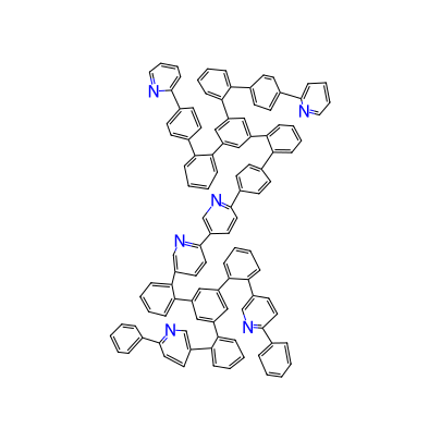 c1ccc(-c2ccc(-c3ccccc3-c3cc(-c4ccccc4-c4ccc(-c5ccccc5)nc4)cc(-c4ccccc4-c4ccc(-c5ccc(-c6ccc(-c7ccccc7-c7cc(-c8ccccc8-c8ccc(-c9ccccn9)cc8)cc(-c8ccccc8-c8ccc(-c9ccccn9)cc8)c7)cc6)nc5)nc4)c3)cn2)cc1